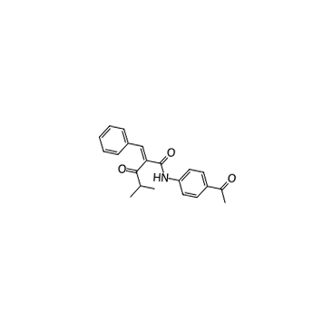 CC(=O)c1ccc(NC(=O)C(=Cc2ccccc2)C(=O)C(C)C)cc1